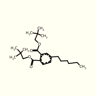 CCCCCCc1ccc(C(=O)OCC(C)(C)C)c(C(=O)OCC(C)(C)C)c1